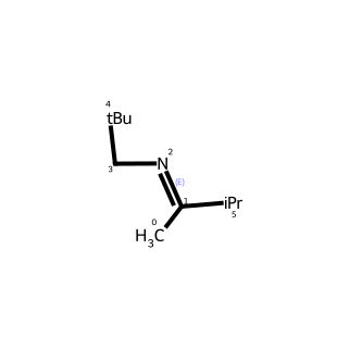 C/C(=N\CC(C)(C)C)C(C)C